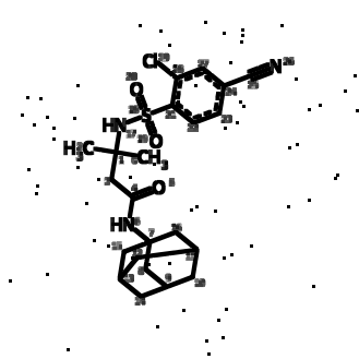 CC(C)(CC(=O)NC12CC3CC(CC(C3)C1)C2)NS(=O)(=O)c1ccc(C#N)cc1Cl